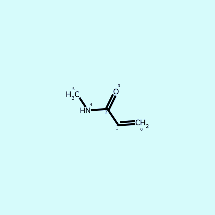 C=[C]C(=O)NC